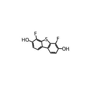 Oc1ccc2c(sc3c(F)c(O)ccc32)c1F